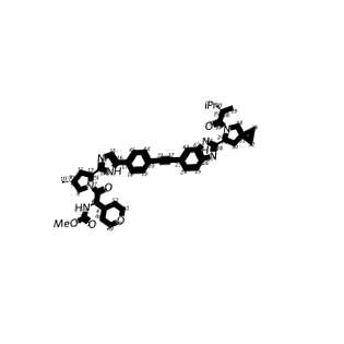 COC(=O)N[C@H](C(=O)N1C[C@H](C)C[C@H]1c1ncc(-c2ccc(C#Cc3ccc4nc([C@@H]5CC6(CC6)CN5C(=O)[C@@H](C)C(C)C)[nH]c4c3)cc2)[nH]1)C1CCOCC1